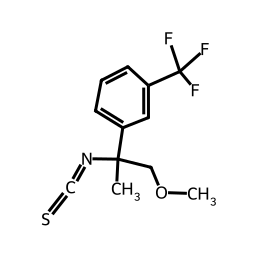 COCC(C)(N=C=S)c1cccc(C(F)(F)F)c1